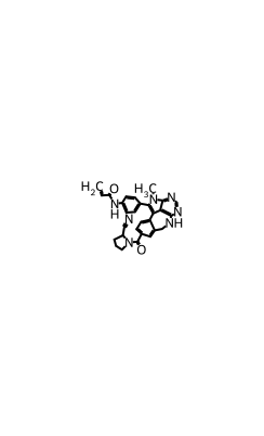 C=CC(=O)Nc1ccc(-c2c3c4c(ncnc4n2C)NCc2cc(C(=O)N4CCCC4C#N)ccc2-3)cc1